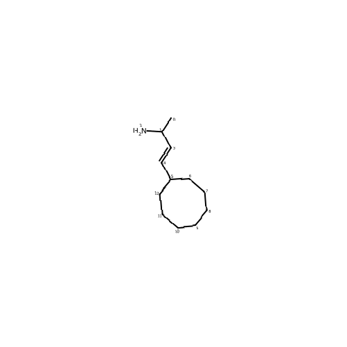 CC(N)C=CC1CCCCCCC1